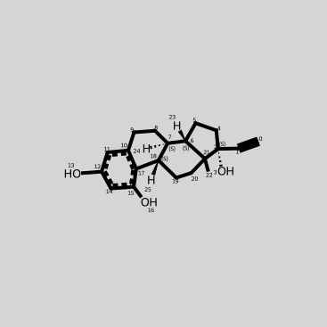 C#C[C@]1(O)CC[C@H]2[C@@H]3CCc4cc(O)cc(O)c4[C@H]3CCC21C